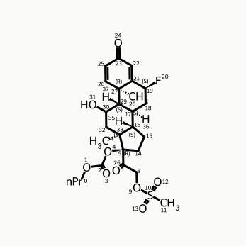 CCCOC(=O)O[C@]1(C(=O)COS(C)(=O)=O)CC[C@H]2[C@@H]3C[C@H](F)C4=CC(=O)C=C[C@]4(C)[C@H]3C(O)C[C@@]21C